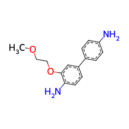 COCCOc1cc(-c2ccc(N)cc2)ccc1N